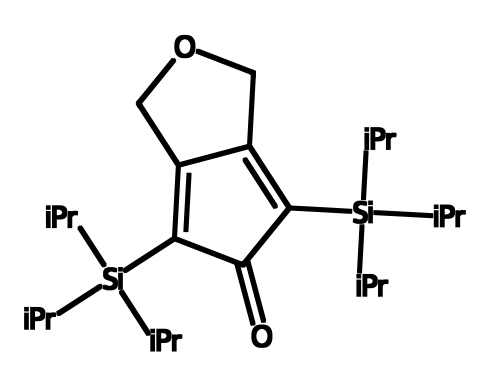 CC(C)[Si](C1=C2COCC2=C([Si](C(C)C)(C(C)C)C(C)C)C1=O)(C(C)C)C(C)C